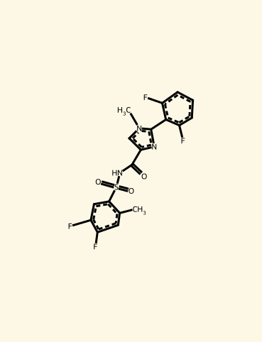 Cc1cc(F)c(F)cc1S(=O)(=O)NC(=O)c1cn(C)c(-c2c(F)cccc2F)n1